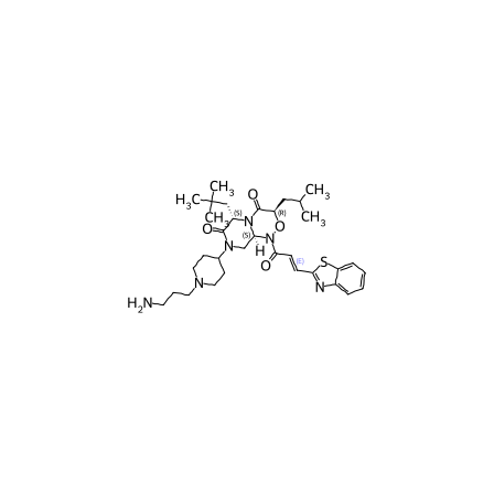 CC(C)C[C@H]1ON(C(=O)/C=C/c2nc3ccccc3s2)[C@H]2CN(C3CCN(CCCN)CC3)C(=O)[C@H](CC(C)(C)C)N2C1=O